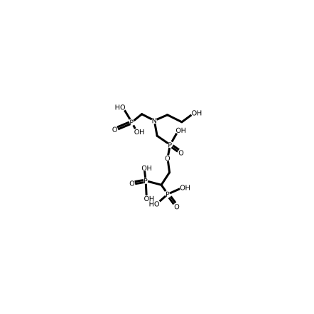 O=P(O)(O)CN(CCO)CP(=O)(O)OCC(P(=O)(O)O)P(=O)(O)O